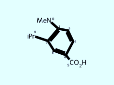 CNc1ccc(C(=O)O)cc1C(C)C